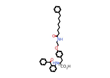 O=C(CCCCCCCc1ccccc1)NCCOc1ccc(C[C@H](Nc2ccccc2C(=O)c2ccccc2)C(=O)O)cc1